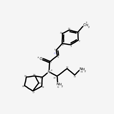 Cc1ccc(/C=C/C(=O)N(C(N)CCN)C2CC3CCC2C3)cc1